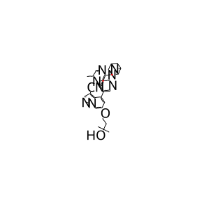 Cc1cnc(CN2C3CC2CN(c2ccc(-c4cc(OCCC(C)(C)O)cn5ncc(C#N)c45)cn2)C3)cn1